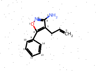 C=CCc1c(N)noc1-c1ccccc1